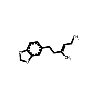 [CH2]CC=C(C)CCc1ccc2c(c1)OCO2